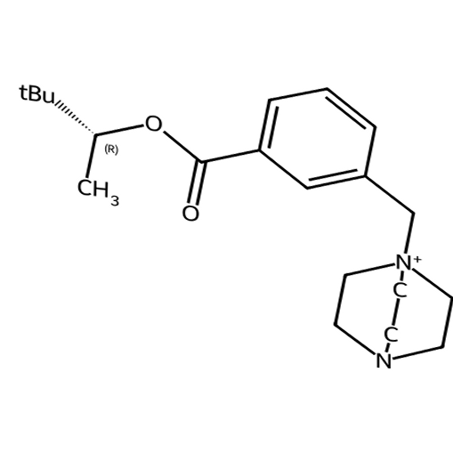 C[C@@H](OC(=O)c1cccc(C[N+]23CCN(CC2)CC3)c1)C(C)(C)C